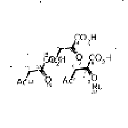 CC(=O)CC(=O)C(=O)O.CC(=O)CC(=O)C(=O)O.CC(=O)CC(=O)C(=O)O.[Ru]